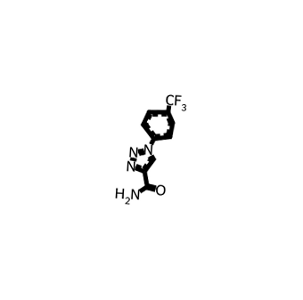 NC(=O)c1cn(-c2ccc(C(F)(F)F)cc2)nn1